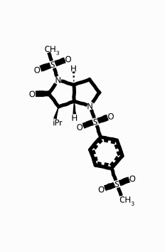 CC(C)[C@H]1C(=O)N(S(C)(=O)=O)[C@H]2CCN(S(=O)(=O)c3ccc(S(C)(=O)=O)cc3)[C@H]12